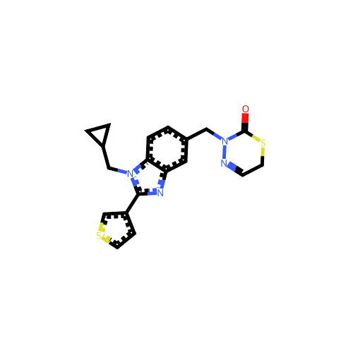 O=C1SCC=NN1Cc1ccc2c(c1)nc(-c1ccsc1)n2CC1CC1